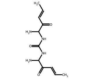 CC=CC(=O)C(N)NC(=O)NC(N)C(=O)C=CC